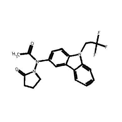 CC(=O)N(c1ccc2c(c1)c1ccccc1n2CC(F)(F)F)N1CCCC1=O